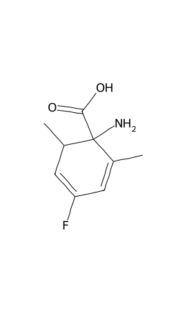 CC1=CC(F)=CC(C)C1(N)C(=O)O